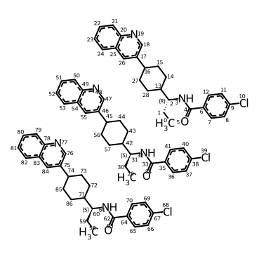 CC[C@@H](NC(=O)c1ccc(Cl)cc1)C1CCC(c2cnc3ccccc3c2)CC1.CC[C@H](NC(=O)c1ccc(Cl)cc1)C1CCC(c2cnc3ccccc3c2)CC1.CC[C@H](NC(=O)c1ccc(Cl)cc1)C1CCC(c2cnc3ccccc3c2)CC1